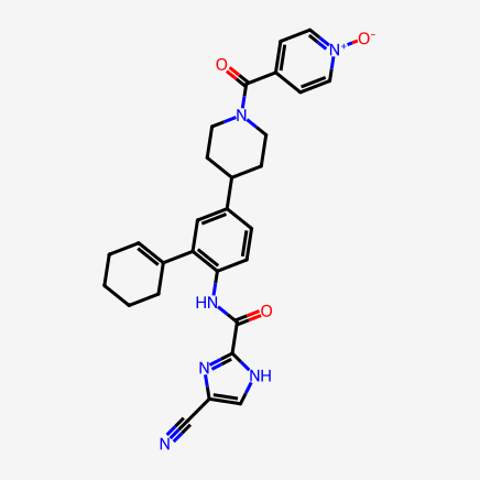 N#Cc1c[nH]c(C(=O)Nc2ccc(C3CCN(C(=O)c4cc[n+]([O-])cc4)CC3)cc2C2=CCCCC2)n1